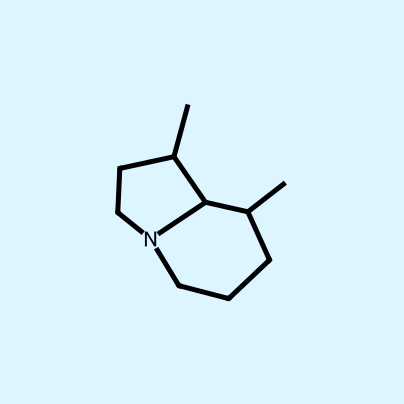 CC1CCCN2CCC(C)C12